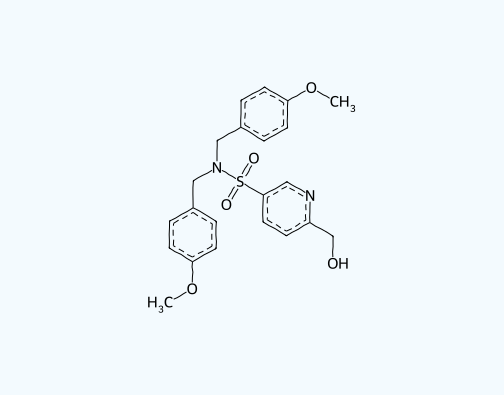 COc1ccc(CN(Cc2ccc(OC)cc2)S(=O)(=O)c2ccc(CO)nc2)cc1